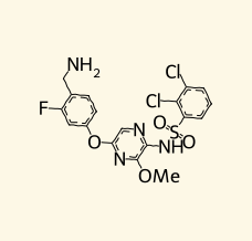 COc1nc(Oc2ccc(CN)c(F)c2)cnc1NS(=O)(=O)c1cccc(Cl)c1Cl